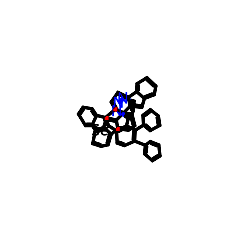 C1=CC2(C3=Cc4ccccc4C3=C1)C1=Cc3ccccc3C1=CC=C2c1c(-c2ccc(-c3ccccc3)c(-c3ccccc3)c2-c2ccnnn2)[se]c2ccccc12